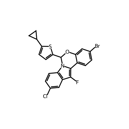 Fc1c2n(c3ccc(Cl)cc13)C(c1ccc(C3CC3)s1)Oc1cc(Br)ccc1-2